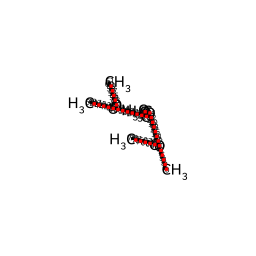 CCCCCCCCCCOC(CCCCCCCCCC=CC(OC)OC(C=CCCCCCCCCCC(OCCCCCCCCCC)OCCCCCCCCCC)OC)OCCCCCCCCCC